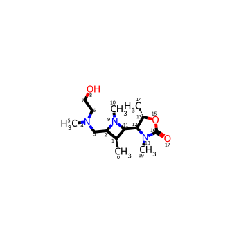 C[C@H]1C(CN(C)CCO)N(C)C1C1[C@H](C)OC(=O)N1C